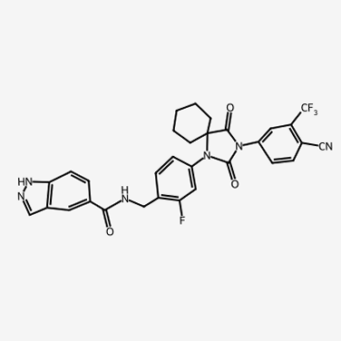 N#Cc1ccc(N2C(=O)N(c3ccc(CNC(=O)c4ccc5[nH]ncc5c4)c(F)c3)C3(CCCCC3)C2=O)cc1C(F)(F)F